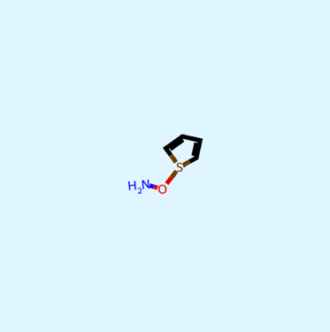 NO[S]1C=CC=C1